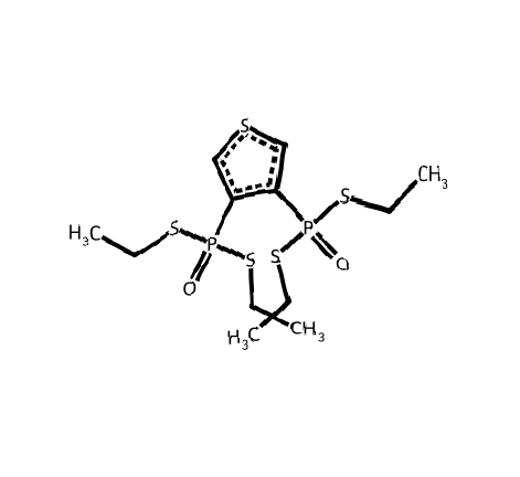 CCSP(=O)(SCC)c1cscc1P(=O)(SCC)SCC